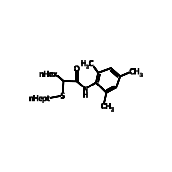 CCCCCCCSC(CCCCCC)C(=O)Nc1c(C)cc(C)cc1C